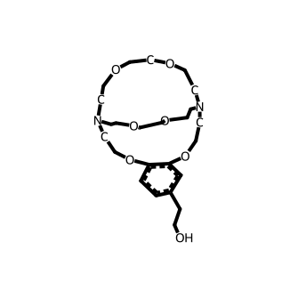 OCCc1ccc2c(c1)OCCN1CCOCCOCCN(CCOCCOCC1)CCO2